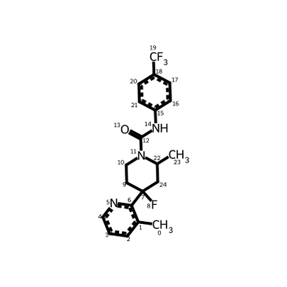 Cc1cccnc1C1(F)CCN(C(=O)Nc2ccc(C(F)(F)F)cc2)C(C)C1